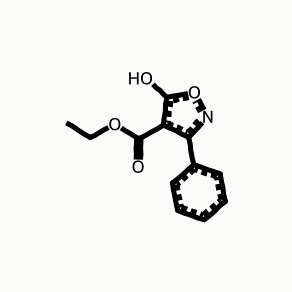 CCOC(=O)c1c(-c2ccccc2)noc1O